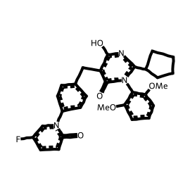 COc1cccc(OC)c1-n1c(C2CCCC2)nc(O)c(Cc2ccc(-n3cc(F)ccc3=O)cc2)c1=O